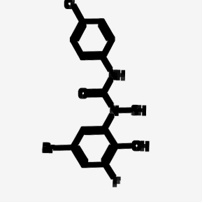 O=C(Nc1ccc(Cl)cc1)N(S)c1cc(Br)cc(F)c1O